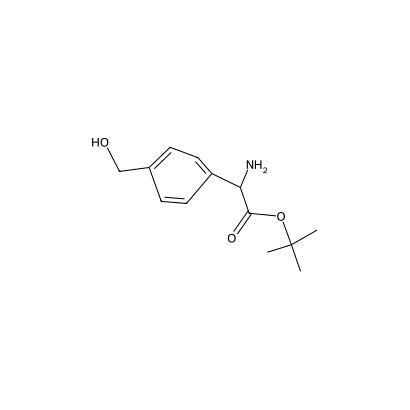 CC(C)(C)OC(=O)C(N)c1ccc(CO)cc1